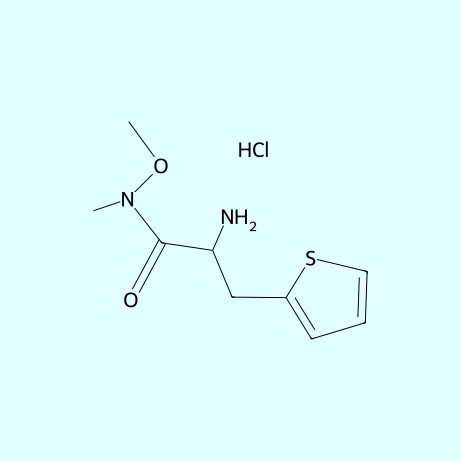 CON(C)C(=O)C(N)Cc1cccs1.Cl